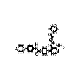 Nc1ncnc(N2CCN(C(=O)Nc3ccc(N4CCOCC4)cc3)CC2)c1/C=N/OCCN1CCOCC1